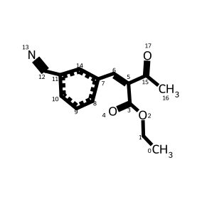 CCOC(=O)C(=Cc1cccc(C#N)c1)C(C)=O